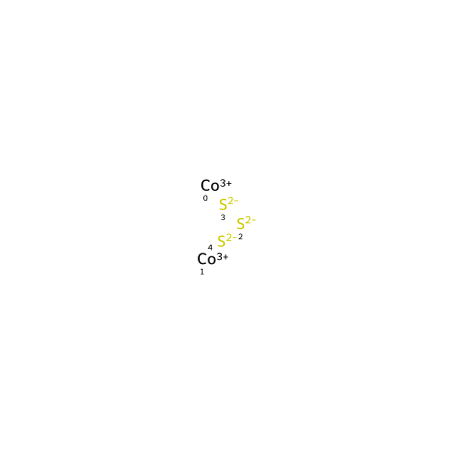 [Co+3].[Co+3].[S-2].[S-2].[S-2]